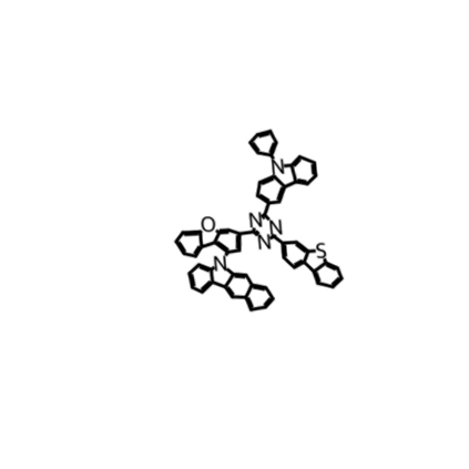 c1ccc(-n2c3ccccc3c3cc(-c4nc(-c5cc(-n6c7ccccc7c7cc8ccccc8cc76)c6c(c5)oc5ccccc56)nc(-c5ccc6c(c5)sc5ccccc56)n4)ccc32)cc1